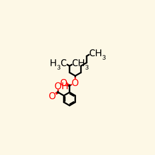 CCCCCC(CC(C)C)OC(=O)c1ccccc1C(=O)O